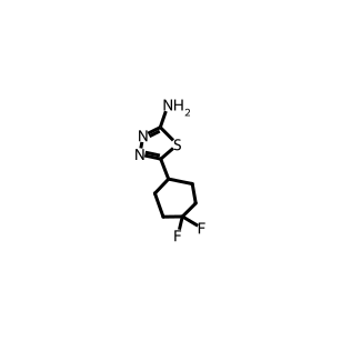 Nc1nnc(C2CCC(F)(F)CC2)s1